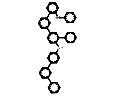 c1ccc(Nc2ccccc2-c2cccc(-c3ccc(Nc4ccc(-c5cccc(-c6ccccc6)c5)cc4)c(-c4ccccc4)c3)c2)cc1